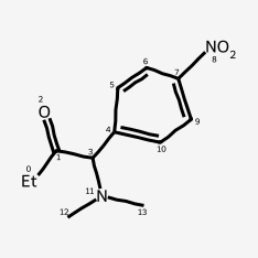 CCC(=O)C(c1ccc([N+](=O)[O-])cc1)N(C)C